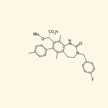 Cc1ccc(-c2c(C)c3c(c(C)c2[C@H](OC(C)(C)C)C(=O)O)NC(=O)N(Cc2ccc(F)cc2)CC3)cc1